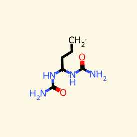 [CH2]CC[C](NC(N)=O)NC(N)=O